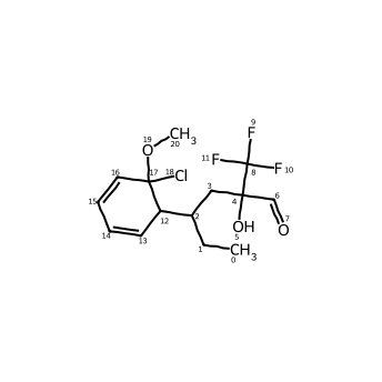 CCC(CC(O)(C=O)C(F)(F)F)C1C=CC=CC1(Cl)OC